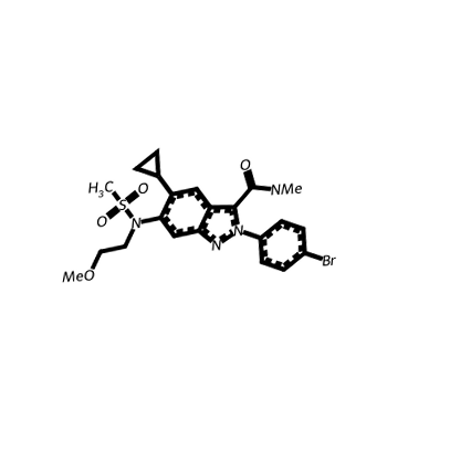 CNC(=O)c1c2cc(C3CC3)c(N(CCOC)S(C)(=O)=O)cc2nn1-c1ccc(Br)cc1